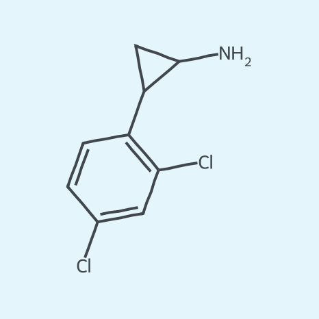 NC1CC1c1ccc(Cl)cc1Cl